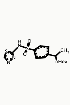 CCCCCCC(C)c1ccc(S(=O)(=O)Nc2nncs2)cc1